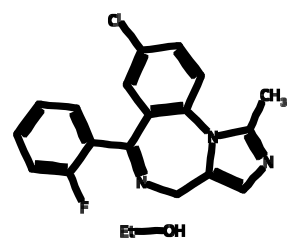 CCO.Cc1ncc2n1-c1ccc(Cl)cc1C(c1ccccc1F)=NC2